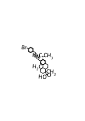 CC(C)c1cc2c(cc1/C=N/OCc1ccc(Br)cc1)[C@@]1(C)CCCC(C)(C(=O)O)C1CC2